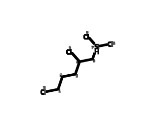 ClCCCC(Cl)C[SiH](Cl)Cl